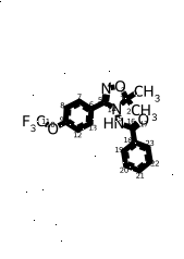 CC1(C)ON=C(c2ccc(OC(F)(F)F)cc2)N1NC(=O)c1ccccc1